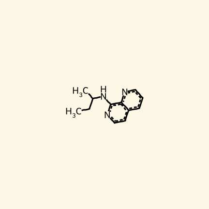 CCC(C)Nc1nccc2cccnc12